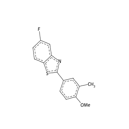 COc1ccc(-c2nc3cc(F)ccc3s2)cc1C